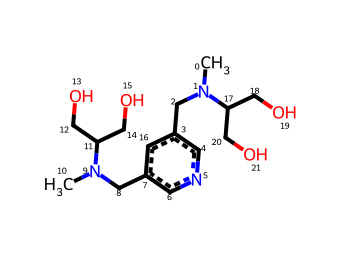 CN(Cc1cncc(CN(C)C(CO)CO)c1)C(CO)CO